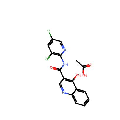 CC(=O)O.O=C(Nc1ncc(Cl)cc1Cl)c1cnc2ccccc2c1O